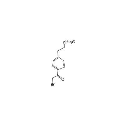 CCCCCCCCCc1ccc(C(=O)CBr)cc1